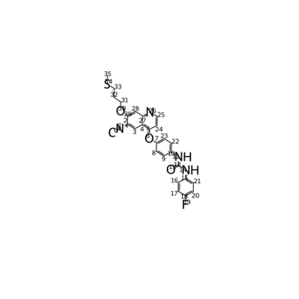 [C-]#[N+]c1cc2c(Oc3ccc(NC(=O)Nc4ccc(F)cc4)cc3)ccnc2cc1OCCCSC